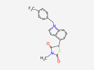 CN1C(=O)SC(c2cccc3c2ccn3Cc2ccc(C(F)(F)F)cc2)C1=O